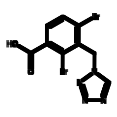 O=C(O)c1ccc(Br)c(Cn2cnnn2)c1Br